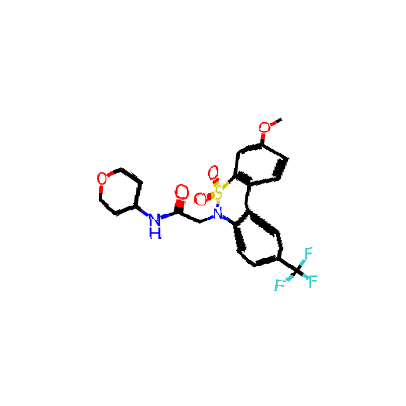 COc1ccc2c(c1)S(=O)(=O)N(CC(=O)NC1CCOCC1)c1ccc(C(F)(F)F)cc1-2